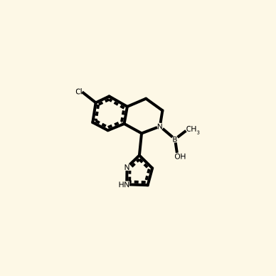 CB(O)N1CCc2cc(Cl)ccc2C1c1cc[nH]n1